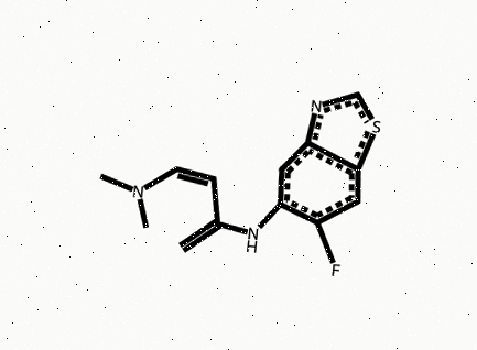 C=C(/C=C\N(C)C)Nc1cc2ncsc2cc1F